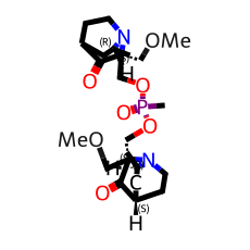 COC[C@]1(COP(C)(=O)OC[C@@]2(COC)C(=O)[C@H]3CCN2[C@H](C)C3)C(=O)C2CCN1[C@H](C)C2